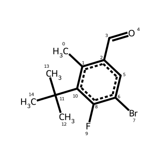 Cc1c(C=O)cc(Br)c(F)c1C(C)(C)C